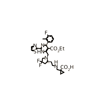 CCOC(=O)C1=C(CN2CC(F)(F)C[C@@H]2CCNCC2(C(=O)O)CC2)NC(c2nccs2)=N[C@H]1c1cccc(F)c1C